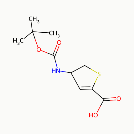 CC(C)(C)OC(=O)NC1C=C(C(=O)O)SC1